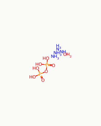 N.N.N.N.O.O=P(O)(O)OP(=O)(O)O